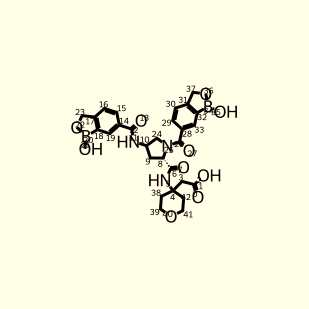 O=C(O)CC1(NC(=O)[C@@H]2CC(NC(=O)c3ccc4c(c3)B(O)OC4)CN2C(=O)c2ccc3c(c2)B(O)OC3)CCOCC1